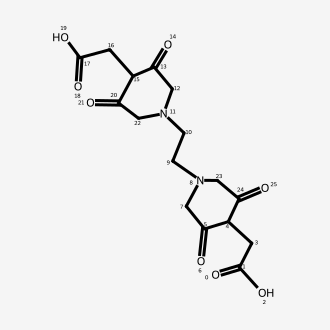 O=C(O)CC1C(=O)CN(CCN2CC(=O)C(CC(=O)O)C(=O)C2)CC1=O